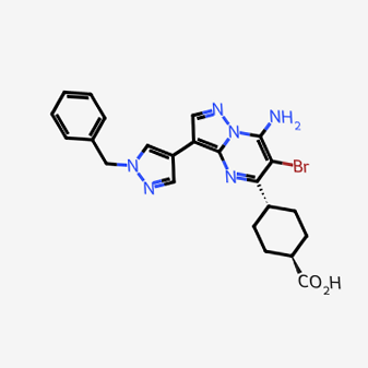 Nc1c(Br)c([C@H]2CC[C@H](C(=O)O)CC2)nc2c(-c3cnn(Cc4ccccc4)c3)cnn12